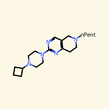 CCCCCN1CCc2nc(N3CCN(C4CCC4)CC3)ncc2C1